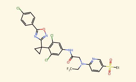 CCS(=O)(=O)c1ccc(N(CC(=O)Nc2cc(Cl)c(C3(c4noc(-c5ccc(Cl)cc5)n4)CC3)c(Cl)c2)CC(F)(F)F)nc1